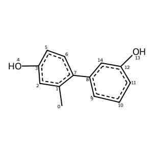 Cc1cc(O)ccc1-c1[c]ccc(O)c1